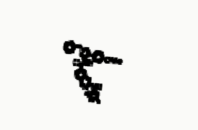 COc1ccc([C@@H]2CN(Cc3ccccc3)C[C@H]2NC(=O)c2ccc3cnc(Nc4cc(C)nn4C)cc3c2)cc1